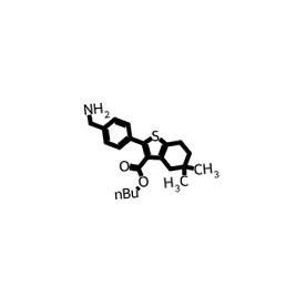 CCCCOC(=O)c1c(-c2ccc(CN)cc2)sc2c1CC(C)(C)CC2